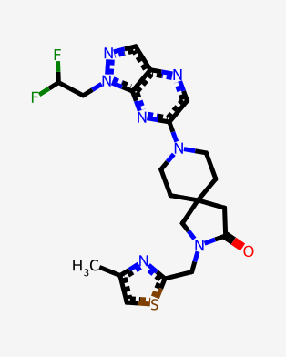 Cc1csc(CN2CC3(CCN(c4cnc5cnn(CC(F)F)c5n4)CC3)CC2=O)n1